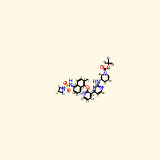 Cc1ccc2c(NS(=O)(=O)N3CCC3)cccc2c1Oc1ncccc1-c1ccnc(N[C@H]2CCCN(C(=O)OC(C)(C)C)C2)n1